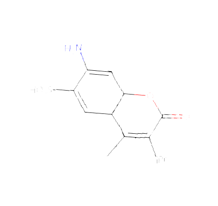 CC1=C(C(C)C)C(=O)OC2C=C(N)C(S(=O)(=O)O)=CC12